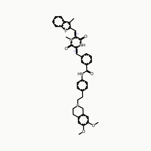 COc1cc2c(cc1OC)CN(CCc1ccc(NC(=O)c3cccc(/C=c4\[nH]c(=O)/c(=C/c5sc6ccccc6c5C)n(C)c4=O)c3)cc1)CC2